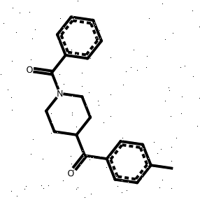 Cc1ccc(C(=O)C2CCN(C(=O)c3[c]cccc3)CC2)cc1